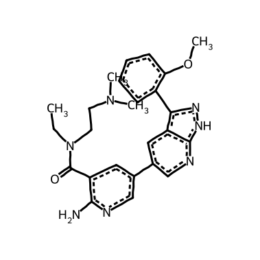 CCN(CCN(C)C)C(=O)c1cc(-c2cnc3[nH]nc(-c4ccccc4OC)c3c2)cnc1N